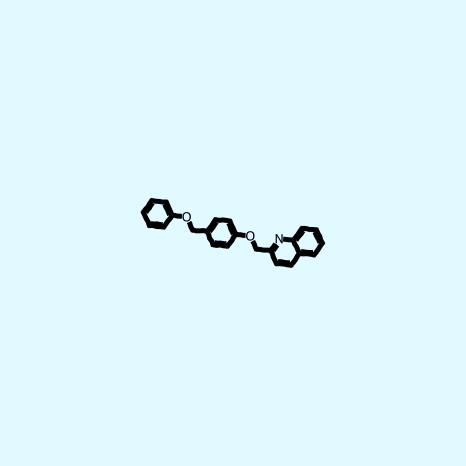 c1ccc(OCc2ccc(OCc3ccc4ccccc4n3)cc2)cc1